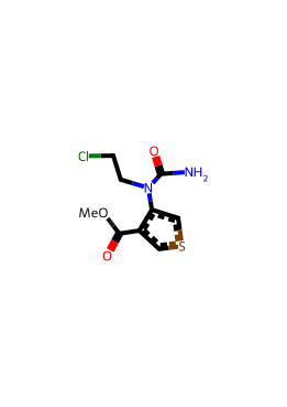 COC(=O)c1cscc1N(CCCl)C(N)=O